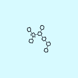 c1ccc(-c2cccc(-c3ccc(-c4cc(-c5ccccc5)cc(-c5cc(-c6ccccc6)nc(-c6ccccc6)n5)c4)cc3)c2)cc1